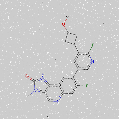 COC1CC(c2cc(-c3cc4c(cc3F)ncc3c4[nH]c(=O)n3C)cnc2F)C1